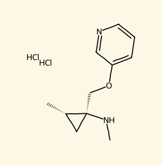 CN[C@@]1(COc2cccnc2)C[C@@H]1C.Cl.Cl